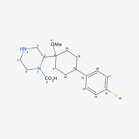 COC1(C2CNCCN2C(=O)O)CCC(c2ccc(F)cc2)CC1